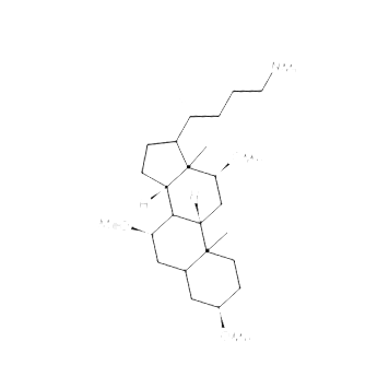 CNCCC[C@@H](C)C1CC[C@H]2C3[C@H](OC)CC4C[C@H](OC)CCC4(C)[C@H]3C[C@H](OC)C12C